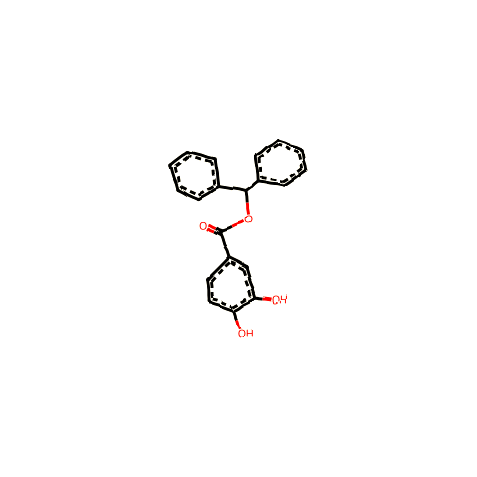 O=C(OC(c1ccccc1)c1ccccc1)c1ccc(O)c(O)c1